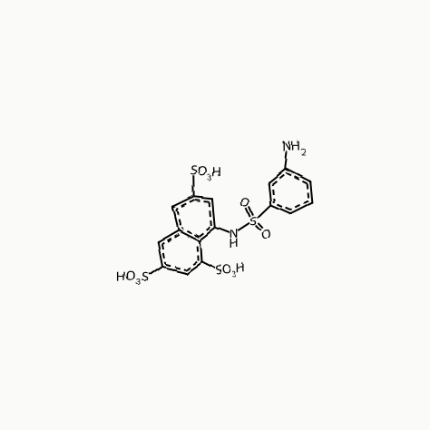 Nc1cccc(S(=O)(=O)Nc2cc(S(=O)(=O)O)cc3cc(S(=O)(=O)O)cc(S(=O)(=O)O)c23)c1